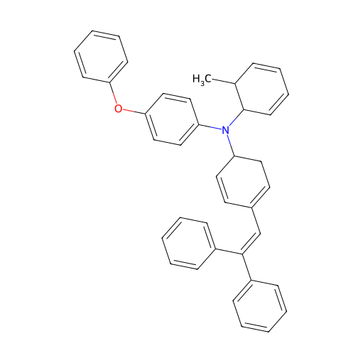 CC1C=CC=CC1N(c1ccc(Oc2ccccc2)cc1)C1C=CC(C=C(c2ccccc2)c2ccccc2)=CC1